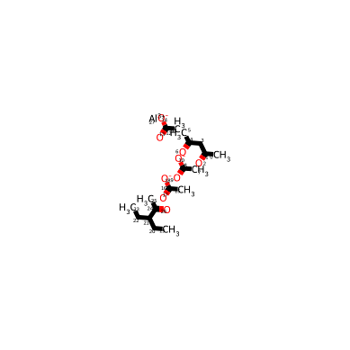 CC(=O)CC(C)=O.CC(=O)[O-].CC(=O)[O-].CC(=O)[O-].CCC(CC)C(C)=O.[Al+3]